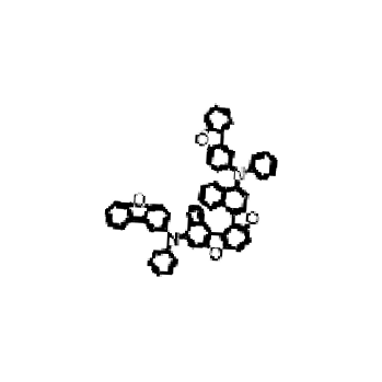 c1ccc(N(c2ccc3oc4ccccc4c3c2)c2cc3oc4ccc5oc6cc(N(c7ccccc7)c7ccc8oc9ccccc9c8c7)c7ccccc7c6c5c4c3c3ccccc23)cc1